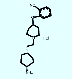 Cl.N#Cc1ccccc1OC1CCN(CC[C@H]2CC[C@H](N)CC2)CC1